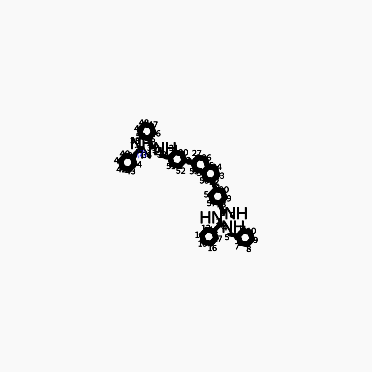 N=C(NC(NCc1ccccc1)c1ccccc1)c1ccc(-c2ccc3ccc(-c4ccc(CNC(/N=C(\N)c5ccccc5)c5ccccc5)cc4)cc3c2)cc1